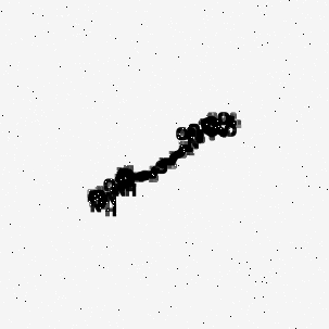 CC1(C)OCc2cc([C@@H]3CN(CCCCCCOCCC#Cc4cccc(NC(=O)Nc5cccnc5)c4)C(=O)O3)ccc2O1